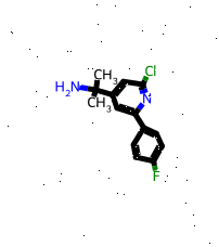 CC(C)(N)c1cc(Cl)nc(-c2ccc(F)cc2)c1